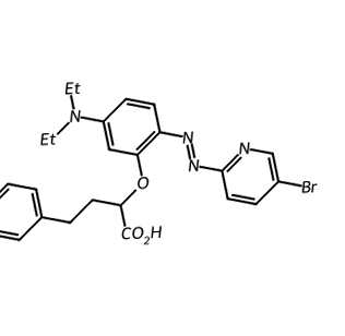 CCN(CC)c1ccc(/N=N/c2ccc(Br)cn2)c(OC(CCc2ccccc2)C(=O)O)c1